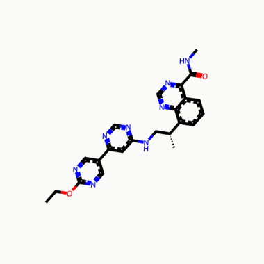 CCOc1ncc(-c2cc(NC[C@@H](C)c3cccc4c(C(=O)NC)ncnc34)ncn2)cn1